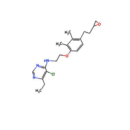 CCc1ncnc(NCCOc2ccc(CCC3CO3)c(C)c2C)c1Cl